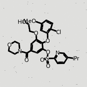 COc1ccc(Cl)c(Oc2c(OCCO)cc(C(=O)N3CCOCC3)cc2OS(=O)(=O)c2ccc(C(C)C)cn2)c1